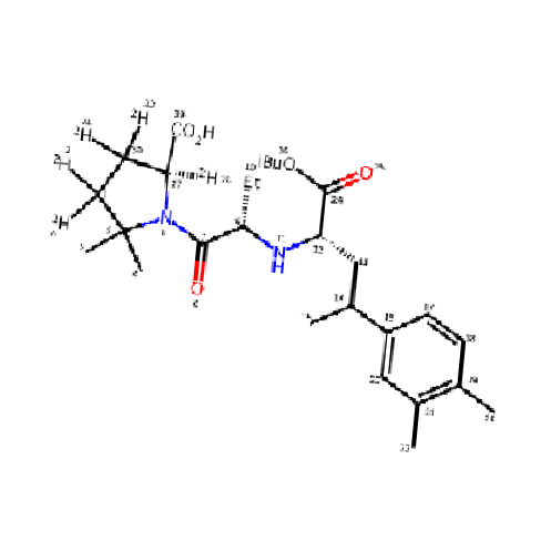 [2H]C1([2H])C(C)(C)N(C(=O)[C@H](CC)N[C@@H](CC(C)c2ccc(C)c(C)c2)C(=O)OCC(C)C)[C@]([2H])(C(=O)O)C1([2H])[2H]